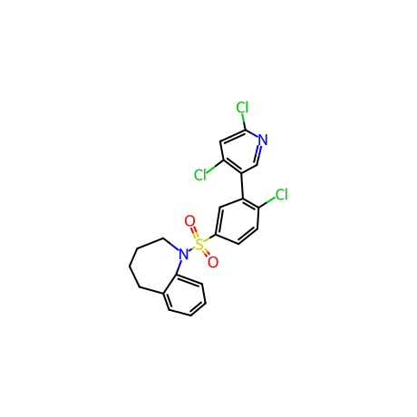 O=S(=O)(c1ccc(Cl)c(-c2cnc(Cl)cc2Cl)c1)N1CCCCc2ccccc21